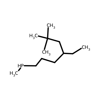 CCC(CCCPC)CC(C)(C)C